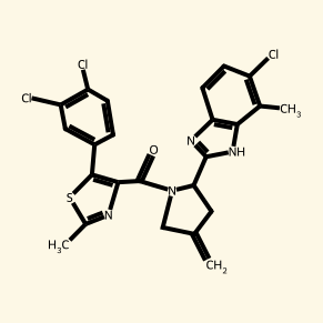 C=C1CC(c2nc3ccc(Cl)c(C)c3[nH]2)N(C(=O)c2nc(C)sc2-c2ccc(Cl)c(Cl)c2)C1